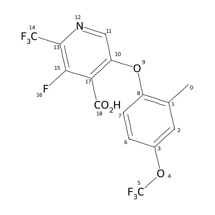 Cc1cc(OC(F)(F)F)ccc1Oc1cnc(C(F)(F)F)c(F)c1C(=O)O